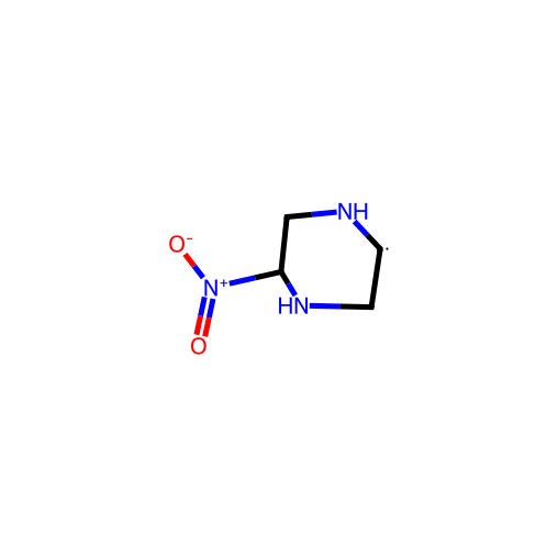 O=[N+]([O-])C1CN[CH]CN1